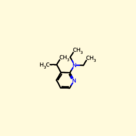 CCN(CC)c1ncccc1C(C)C